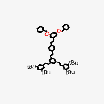 CC(C)(C)c1cc(C=Cc2cc(C=Cc3ccc(C=Cc4cc(OCc5ccccc5)cc(OCc5ccccc5)c4)cc3)cc(C=Cc3cc(C(C)(C)C)cc(C(C)(C)C)c3)c2)cc(C(C)(C)C)c1